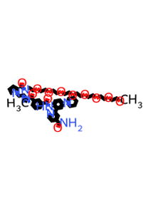 COCCOCCOCCOCCOCCOCCOCCOCCNC(=O)[C@@H]1CCCN1CCN(C)C(=O)c1cccc(C(=O)Nc2ccc(N3CCCCC3)cc2-c2cc(C(N)=O)ccn2)c1